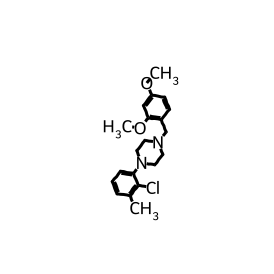 COc1ccc(CN2CCN(c3cccc(C)c3Cl)CC2)c(OC)c1